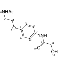 CC(=O)NCCOc1ccc(NC(=O)CO)cc1